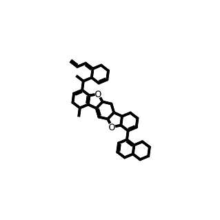 C=C/C=C1/CCC=CC1C(C)C1=CCC(C)C2=C1OC1CC3C(C=C21)OC1C(C2=C4CCCCC4CC=C2)=CCCC13